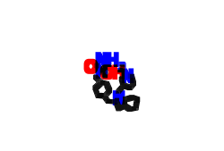 NC(=O)N(O)Cc1ccc(Cc2cc3ccccc3n2Cc2cccnc2)cc1